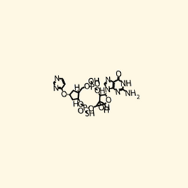 Nc1nc2c(ncn2[C@@H]2O[C@@H]3C4OP(=O)(S)O[C@H]5C[C@H](Oc6ccncn6)C[C@@H]5COP(=O)(O)O[C@@H]2[C@@]43O)c(=O)[nH]1